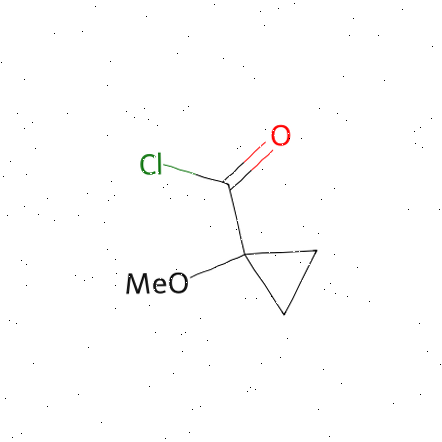 COC1(C(=O)Cl)CC1